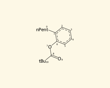 [CH2]CCCCc1ccccc1OC(=O)C(C)(C)C